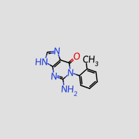 Cc1ccccc1-n1c(N)nc2[nH]cnc2c1=O